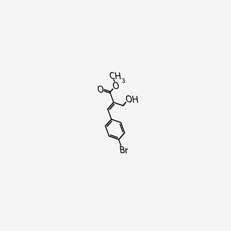 COC(=O)/C(=C/c1ccc(Br)cc1)CO